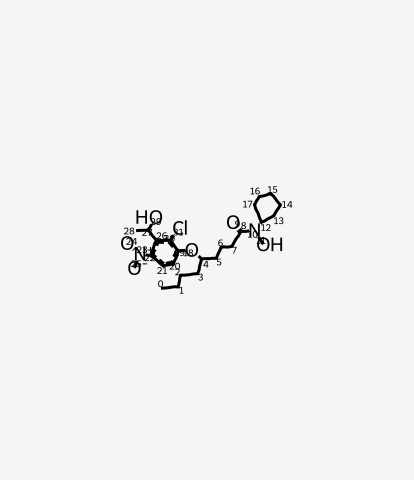 CCCCC(CCCC(=O)N(O)C1CCCCC1)Oc1ccc([N+](=O)[O-])c(C(C)O)c1Cl